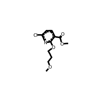 COCCCOc1nc(Cl)ccc1C(=O)OC